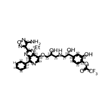 CCn1c(-c2nonc2N)nc2c(-c3ccccc3)ncc(OCC(O)CNC[C@H](O)c3ccc(OC(=O)C(F)(F)F)c(O)c3)c21